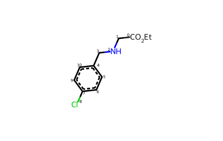 CCOC(=O)CNCc1ccc(Cl)cc1